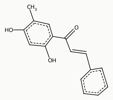 Cc1cc(C(=O)/C=C/c2ccccc2)c(O)cc1O